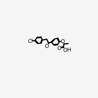 CC(Oc1ccc(C(=O)Cc2ccc(Cl)cc2)cc1)C(=O)O